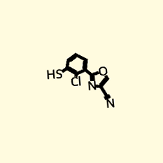 N#Cc1coc(-c2cccc(S)c2Cl)n1